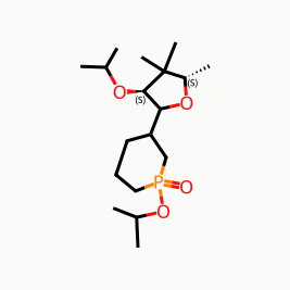 CC(C)O[C@@H]1C(C2CCCP(=O)(OC(C)C)C2)O[C@@H](C)C1(C)C